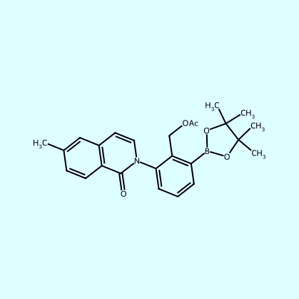 CC(=O)OCc1c(B2OC(C)(C)C(C)(C)O2)cccc1-n1ccc2cc(C)ccc2c1=O